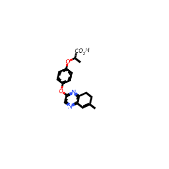 CC1=Cc2ncc(Oc3ccc(OC(C)C(=O)O)cc3)nc2CC1